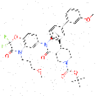 COCCCN1C(=O)C(F)(F)Oc2ccc(N(C(=O)[C@H]3CN(C(=O)OC(C)(C)C)CC[C@@H]3c3cccc(-c4cccc(OC)c4)c3)C3CC3)cc21